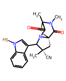 CN1C(=O)[C@@]23C[C@](C)(C#N)C(c4cn(S)c5ccccc45)N2C(=O)C1(C)SS3